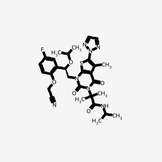 Cc1c(-n2nccn2)sc2c1c(=O)n(C(C)(C)C(=O)NC(C)C)c(=O)n2C[C@H](OC(C)C)c1cc(F)ccc1OCC#N